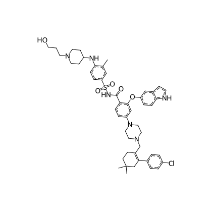 Cc1cc(S(=O)(=O)NC(=O)c2ccc(N3CCN(CC4=C(c5ccc(Cl)cc5)CC(C)(C)CC4)CC3)cc2Oc2ccc3[nH]ccc3c2)ccc1NC1CCN(CCCO)CC1